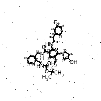 CC(C)(C)OC(=O)NCc1ncccc1CNC(=O)c1cc(F)c(N2CC[C@@H](O)C2)nc1NCCc1cccc(F)c1